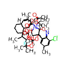 CC(=O)O[C@H]1C(C)=C[C@@H]2CCC[C@](C)(C(C)CF)[C@]2(O)[C@H]1[C@]1(C(=O)O)C[C@@]2(OC(=O)OC(C)(C)C)C3=CC(C)C=C(Cl)C3=NO[C@H]2[N+]1(C(=O)[O-])C(C)(C)C